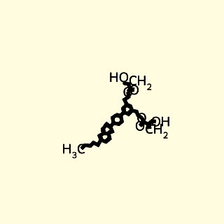 C=C(CO)C(=O)OCCc1cc(CCOC(=O)C(=C)CO)cc(C2=CCC(c3ccc4cc(CCCCC)ccc4c3)CC2)c1